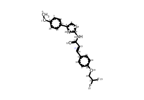 COc1ccc(-c2csc(NC(=O)/C=C/c3ccc(OCC(F)F)cc3)n2)cc1